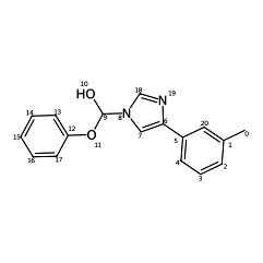 Cc1cccc(-c2cn(C(O)Oc3ccccc3)cn2)c1